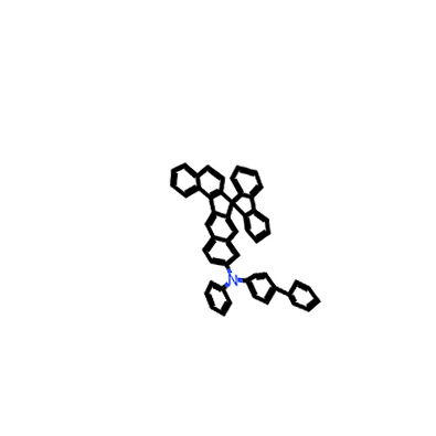 c1ccc(-c2ccc(N(c3ccccc3)c3ccc4cc5c(cc4c3)C3(c4ccccc4-c4ccccc43)c3ccc4ccccc4c3-5)cc2)cc1